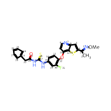 CON=C(C)c1cc2nccc(Oc3ccc(NC(=S)NC(=O)Cc4ccccc4)cc3F)c2s1